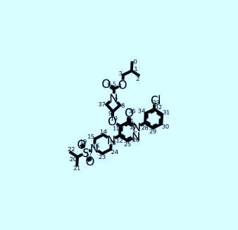 CC(C)COC(=O)N1CC(Oc2c(N3CCN(S(=O)(=O)C(C)C)CC3)cnn(-c3cccc(Cl)c3)c2=O)C1